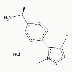 C[C@H](N)c1ccc(-c2c(F)cnn2C)cc1.Cl